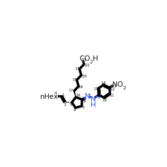 CCCCCCC=C[C@H]1CCC(=NNc2ccc([N+](=O)[O-])cc2)[C@@H]1CCCCCCC(=O)O